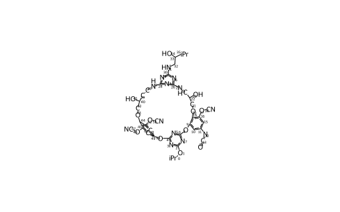 CC(C)Oc1nc2nc(n1)Oc1cc(N=C=O)cc(OC#N)c1OCC(O)CNc1nc(nc(NCC(O)C(C)C)n1)NCCC(O)COc1c(OC#N)cc(cc1OC#N)O2